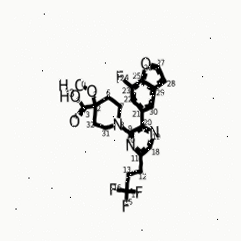 COC1(C(=O)O)CCN(c2nc(CCC(F)(F)F)cnc2-c2cc(F)c3occc3c2)CC1